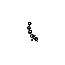 O=C(c1cc(F)ccc1C(F)(F)F)N1CCN(c2ccc(-c3ncc(-c4ccccc4)o3)nn2)CC1